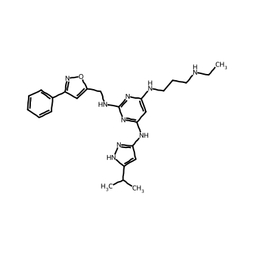 CCNCCCNc1cc(Nc2cc(C(C)C)[nH]n2)nc(NCc2cc(-c3ccccc3)no2)n1